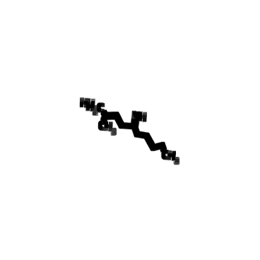 [CH2]C(C)=CCC(=N)CCCCC.[LiH]